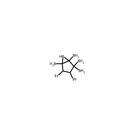 BC1(B)C(C(C)C)C(CC)C2(B)BC12B